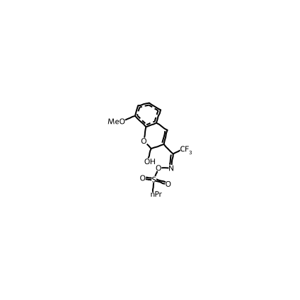 CCCS(=O)(=O)O/N=C(\C1=Cc2cccc(OC)c2OC1O)C(F)(F)F